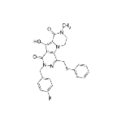 CN1CCn2c(c(O)c3c(=O)n(Cc4ccc(F)cc4)nc(CSc4ccccc4)c32)C1=O